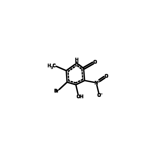 Cc1[nH]c(=O)c([N+](=O)[O-])c(O)c1Br